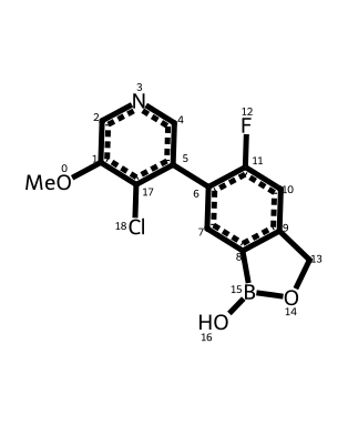 COc1cncc(-c2cc3c(cc2F)COB3O)c1Cl